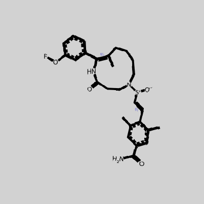 C/C1=C(/c2cccc(OF)c2)NC(=O)CCN([S+]([O-])/C=C/c2c(C)cc(C(N)=O)cc2C)CCCC1